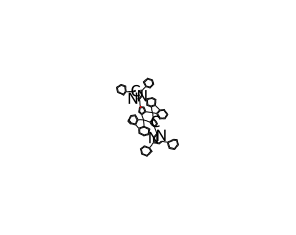 c1ccc2c(c#1)-c1ccccc1C21c2cc(-c3nc(-c4ccccc4)cc(-c4ccccc4)n3)ccc2C2(c3ccccc3-c3ccccc32)c2cc(-c3nc(-c4ccccc4)cc(-c4ccccc4)n3)ccc21